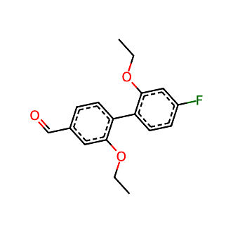 CCOc1cc(F)ccc1-c1ccc(C=O)cc1OCC